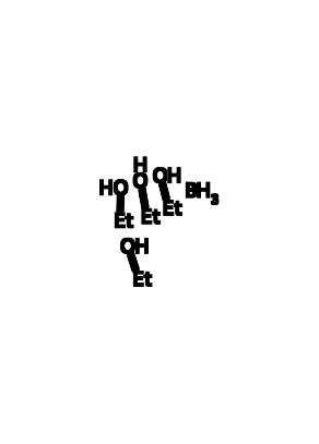 B.CCO.CCO.CCO.CCO